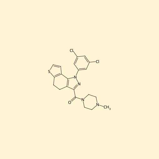 CN1CCN(C(=O)c2nn(-c3cc(Cl)cc(Cl)c3)c3c2CCc2sccc2-3)CC1